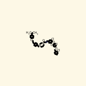 Cc1cc(/C=C/C(=O)N2CCCN(Cc3ccc(CCOc4ccc(C(C)C)cc4)cc3)CC2)cc(Cl)c1Oc1ccc(OCc2ccccc2Cl)cn1